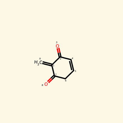 C=C1C(=O)C=CCC1=O